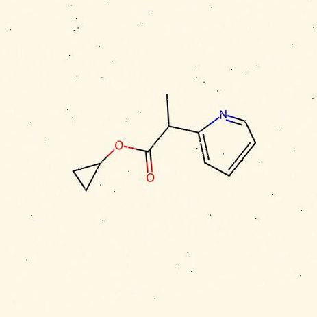 CC(C(=O)OC1CC1)c1ccccn1